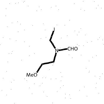 COCCN(C=O)CI